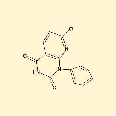 O=c1[nH]c(=O)n(-c2ccccc2)c2nc(Cl)ccc12